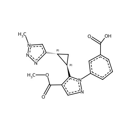 COC(=O)c1cnn(-c2cccc(C(=O)O)c2)c1[C@@H]1C[C@H]1c1cn(C)nn1